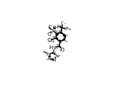 Cn1nnnc1NC(=O)c1ccc(C(F)(F)F)c(S(C)(=O)=O)c1Cl